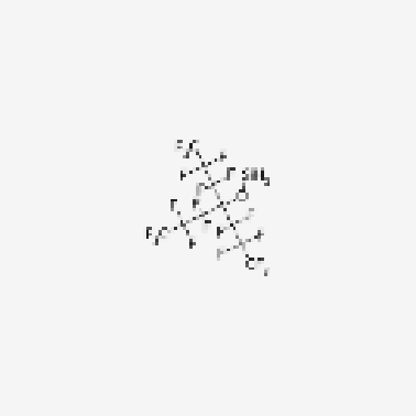 FC(F)(F)C(F)(F)C(F)(F)C(O[SiH3])(C(F)(F)C(F)(F)C(F)(F)F)C(F)(F)C(F)(F)C(F)(F)F